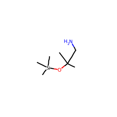 CC(C)(CN)O[Si](C)(C)C